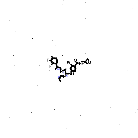 C\C=C/N=C(Nc1ccc(C(=O)NCC2COC2)c(CC)c1)\C(C)=N\C=C(/C)c1ccc(C)c(F)c1F